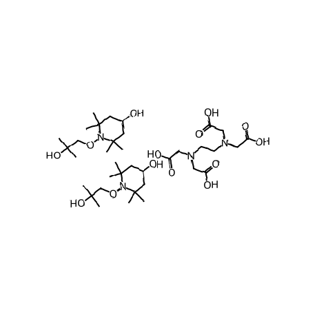 CC(C)(O)CON1C(C)(C)CC(O)CC1(C)C.CC(C)(O)CON1C(C)(C)CC(O)CC1(C)C.O=C(O)CN(CCN(CC(=O)O)CC(=O)O)CC(=O)O